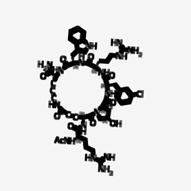 CC(=O)N[C@@H](CCCNC(=N)N)C(=O)N[C@H]1CCC(=O)NCCC[C@@H](C(N)=O)NC(=O)[C@H](Cc2c[nH]c3ccccc23)NC(=O)[C@H](CCCNC(=N)N)NC(=O)[C@@H](Cc2cccc(Cl)c2)NC(=O)[C@@H]2C[C@@H](O)CN2C1=O